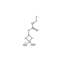 CCOC(=O)CC1CS(O)(O)C1